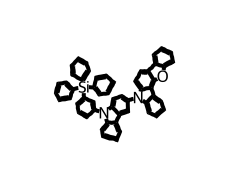 c1ccc([Si](c2ccccc2)(c2ccccc2)c2cccc(-n3c4ccccc4c4cc(-n5c6ccccc6c6c7oc8ccccc8c7ccc65)ccc43)c2)cc1